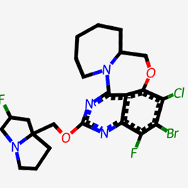 Fc1c(Br)c(Cl)c2c3c(nc(OCC45CCCN4CC(F)C5)nc13)N1CCCCCC1CO2